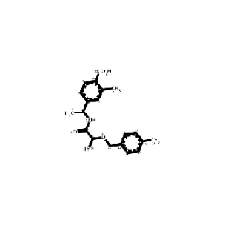 Cc1cc([C@H](C)NC(=O)C(OCc2ccc(C(F)(F)F)cc2)C(C)C)ccc1C(=O)O